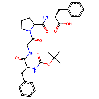 CC(C)(C)OC(=O)N[C@@H](Cc1ccccc1)C(=O)NCC(=O)N1CCC[C@H]1C(=O)N[C@@H](Cc1ccccc1)C(=O)O